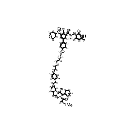 CCN(c1cc(-c2ccc(OCCOCCOCCOc3ccc(CCN4CCC5CCN(C(=O)[C@@H](NC(=O)[C@H](C)NC)C6CCCCC6)C5C4)cc3)cc2)cc(C(=O)NCc2c(C)cc(C)[nH]c2=O)c1C)C1CCOCC1